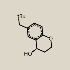 CC(C)(C)Cc1ccc2c(c1)[C@H](O)CCO2